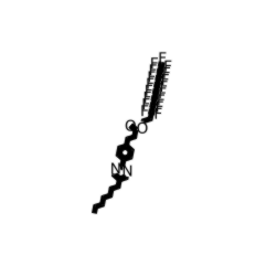 CCCCCCCc1cnc(-c2ccc(CCC(=O)OCCC(F)(F)C(F)(F)C(F)(F)C(F)(F)C(F)(F)C(F)(F)C(F)(F)C(F)(F)F)cc2)nc1